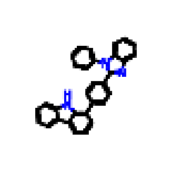 c1ccc(-n2c(-c3ccc(-c4cccc5c4[nH]c4ccccc45)cc3)nc3ccccc32)cc1